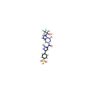 C[C@H]1CN(C(=O)c2cc(-c3ccc(S(C)(=O)=O)cc3)nn2C)Cc2cnc(C(C)(O)C(F)(F)F)n21